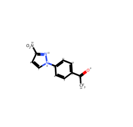 O=C(c1ccc(-n2ccc([N+](=O)[O-])n2)cc1)C(F)(F)F